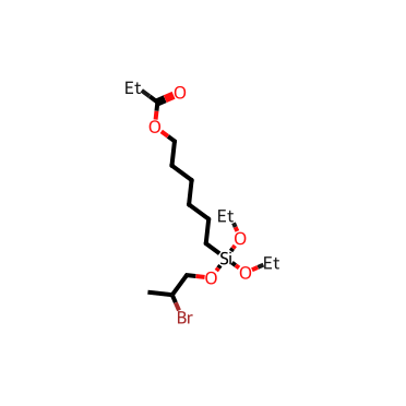 CCO[Si](CCCCCCOC(=O)CC)(OCC)OCC(C)Br